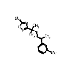 CC(CCC(C)(C)c1noc(C(C)(C)C)n1)c1cccc(C(C)(C)C)c1